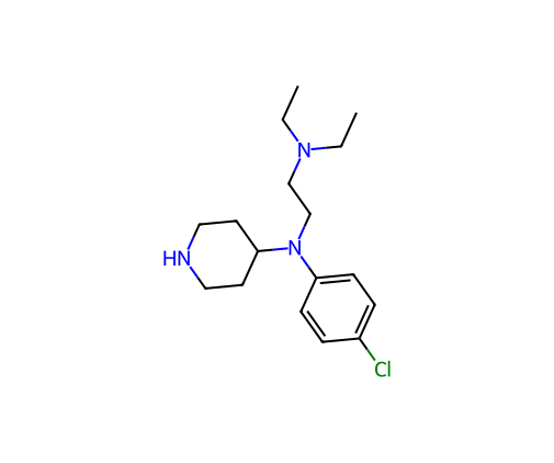 CCN(CC)CCN(c1ccc(Cl)cc1)C1CCNCC1